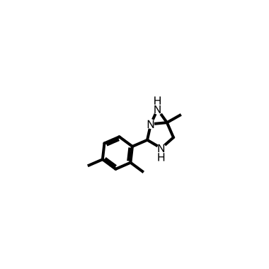 Cc1ccc(C2NCC3(C)NN23)c(C)c1